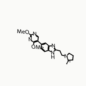 COc1ncc(-c2ccc3[nH]c(CCN4CCC[C@H]4C)nc3c2)c(OC)n1